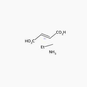 CCC.N.O=C(O)/C=C/C(=O)O